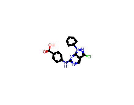 O=C(O)c1ccc(Nc2ncc3c(Cl)nn(-c4ccccc4)c3n2)cc1